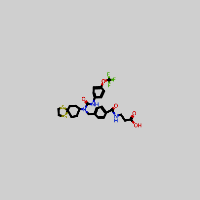 O=C(O)CCNC(=O)c1ccc(CN(C(=O)Nc2ccc(OC(F)(F)F)cc2)C2CCC3(CC2)SCCS3)cc1